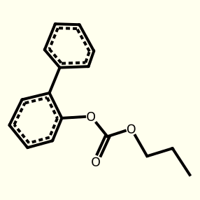 CCCOC(=O)Oc1ccccc1-c1ccccc1